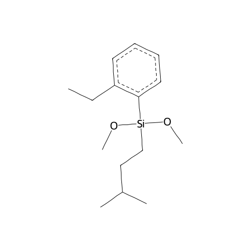 CCc1ccccc1[Si](CCC(C)C)(OC)OC